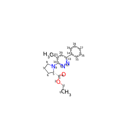 CCOC(=O)[C@@H]1CCCN1c1nnc(-c2ccccc2)cc1C